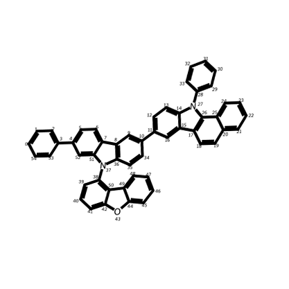 c1ccc(-c2ccc3c4cc(-c5ccc6c(c5)c5ccc7ccccc7c5n6-c5ccccc5)ccc4n(-c4cccc5oc6ccccc6c45)c3c2)cc1